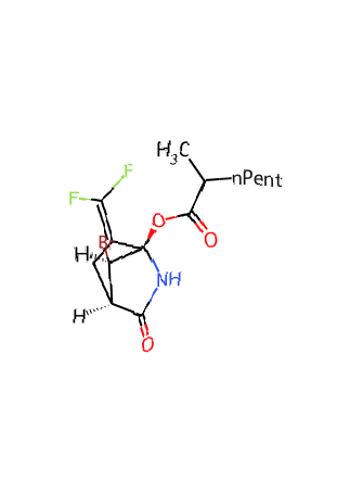 CCCCCC(C)C(=O)O[C@]12NC(=O)[C@@H](CC1=C(F)F)[C@H]2Br